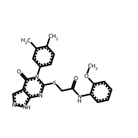 COc1ccccc1NC(=O)CSc1nc2[nH]ncc2c(=O)n1-c1ccc(C)c(C)c1